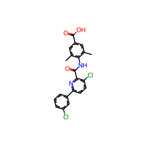 Cc1cc(C(=O)O)cc(C)c1NC(=O)c1nc(-c2cccc(Cl)c2)ccc1Cl